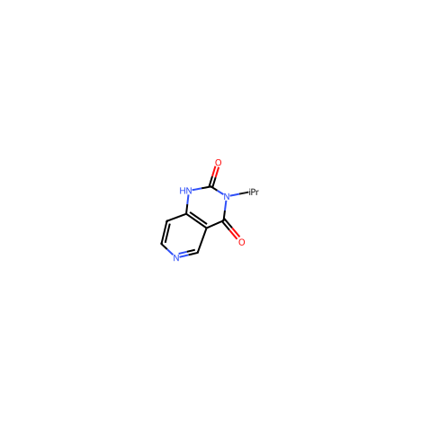 CC(C)n1c(=O)[nH]c2ccncc2c1=O